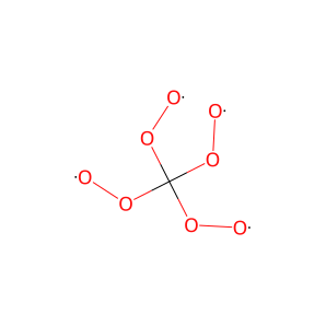 [O]OC(O[O])(O[O])O[O]